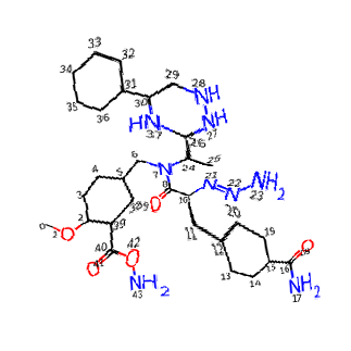 COC1CCC(CN(C(=O)[C@H](CC2CCC(C(N)=O)CC2)N=NN)C(C)[C@@H]2NNCC(C3CCCCC3)N2)CC1C(=O)ON